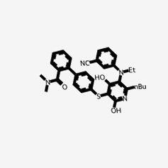 CCCCc1nc(O)c(Sc2ccc(-c3ccccc3C(=O)N(C)C)cc2)c(O)c1N(CC)c1cccc(C#N)c1